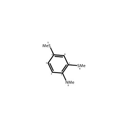 CNc1ccc(SC)cc1SC